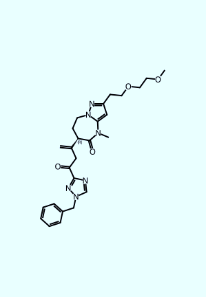 C=C(CC(=O)c1ncn(Cc2ccccc2)n1)[C@H]1CCn2nc(CCOCCOC)cc2N(C)C1=O